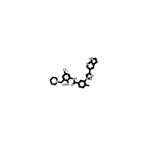 COc1c(CN2CCCCC2)cc(C(F)(F)F)cc1NC(=O)c1ccc(C)c(-n2cc(-c3cnc4[nH]ccc4c3)nn2)c1